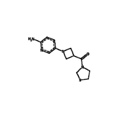 Nc1ccc(N2CC(C(=O)N3CCSC3)C2)cn1